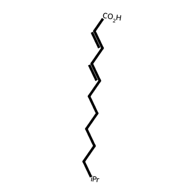 CC(C)CCCCCC=CC=CC(=O)O